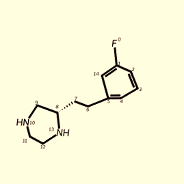 Fc1cccc(CC[C@H]2CNCCN2)c1